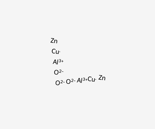 [Al+3].[Al+3].[Cu].[Cu].[O-2].[O-2].[O-2].[Zn].[Zn]